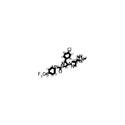 Cn1nnc(-c2cnn(C3CN(C(=O)Nc4ccc(SC(F)(F)F)cc4)N=C3c3ccc(Cl)cc3)c2)n1